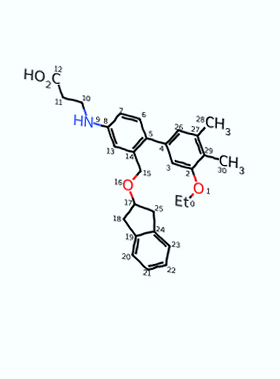 CCOc1cc(-c2ccc(NCCC(=O)O)cc2COC2Cc3ccccc3C2)cc(C)c1C